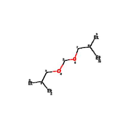 CCC(CC)CO[CH]OCC(CC)CC